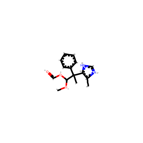 COC(OC=O)C(C)(c1ccccc1)c1[nH]cnc1C